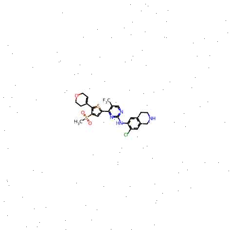 CS(=O)(=O)c1cc(-c2nc(Nc3cc4c(cc3Cl)CNCC4)ncc2C(F)(F)F)sc1C1=CCOCC1